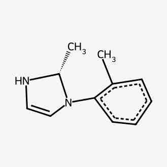 Cc1ccccc1N1C=CN[C@@H]1C